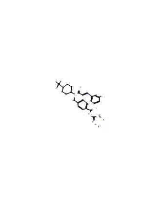 CC(C)(C)C1CCC(N(Cc2ccc(C(=O)N/C(N=N)=N/N)cc2)C(=O)/C=C/c2cccc(Cl)c2)CC1